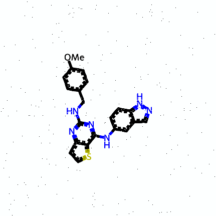 COc1ccc(CNc2nc(Nc3ccc4[nH]ncc4c3)c3sccc3n2)cc1